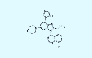 CCc1nc2c(-c3cnc[nH]3)cc(N3CCOCC3)cc2n1-c1ccnc2c(F)cccc12